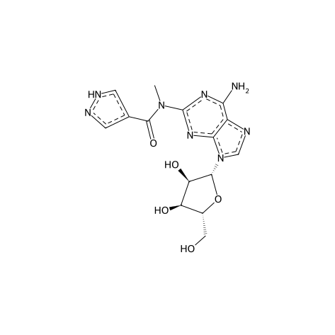 CN(C(=O)c1cn[nH]c1)c1nc(N)c2ncn([C@@H]3O[C@H](CO)[C@@H](O)[C@H]3O)c2n1